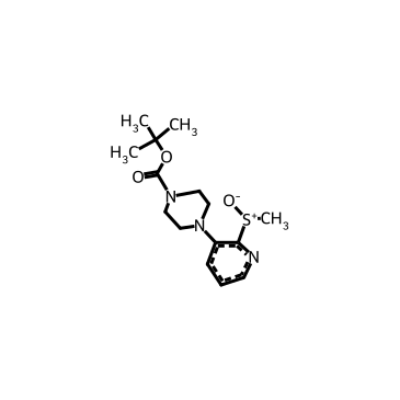 C[S+]([O-])c1ncccc1N1CCN(C(=O)OC(C)(C)C)CC1